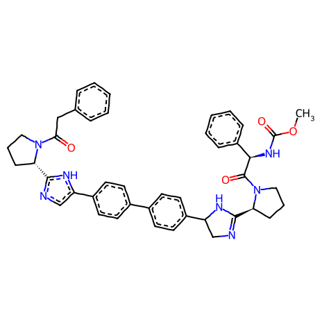 COC(=O)N[C@@H](C(=O)N1CCC[C@H]1C1=NCC(c2ccc(-c3ccc(-c4cnc([C@@H]5CCCN5C(=O)Cc5ccccc5)[nH]4)cc3)cc2)N1)c1ccccc1